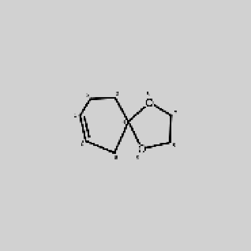 [C]1=CCCC2(C1)OCCO2